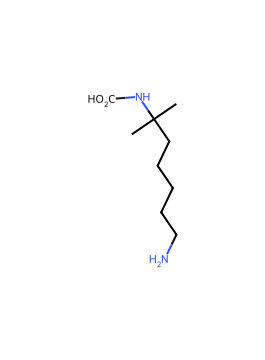 CC(C)(CCCCCN)NC(=O)O